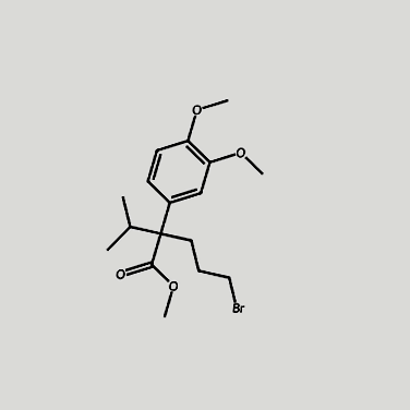 COC(=O)C(CCCBr)(c1ccc(OC)c(OC)c1)C(C)C